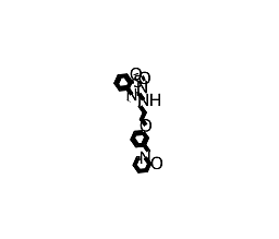 CN1C(NCCCOc2cccc(CN3CCCCC3=O)c2)=NS(=O)(=O)c2ccccc21